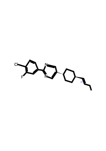 CC/C=C/[C@H]1CC[C@H](c2cnc(-c3ccc(Cl)c(F)c3)nc2)CC1